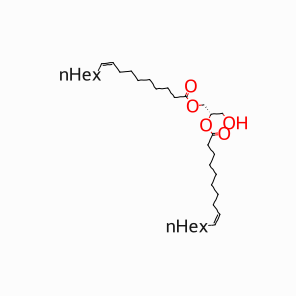 CCCCCC/C=C\CCCCCCCC(=O)OC[C@H](CO)OC(=O)CCCCCCC/C=C\CCCCCC